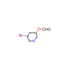 O=COc1cncc(Br)c1